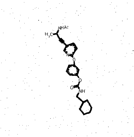 CC(=O)NC(C)C#Cc1ccc(Oc2cccc(OC(=O)NCC3CCCCC3)c2)nc1